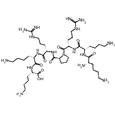 N=C(N)NCCC[C@H](NC(=O)[C@@H]1CCCN1C(=O)[C@H](CCCNC(=N)N)NC(=O)[C@H](CCCCN)NC(=O)[C@@H](N)CCCCN)C(=O)N[C@@H](CCCCN)C(=O)N[C@@H](CCCCN)C(=O)O